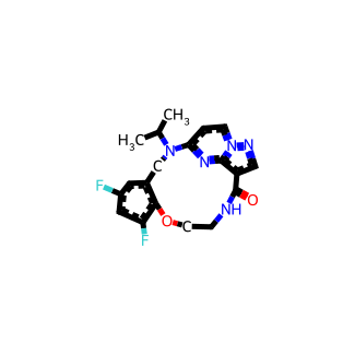 CC(C)N1Cc2cc(F)cc(F)c2OCCNC(=O)c2cnn3ccc1nc23